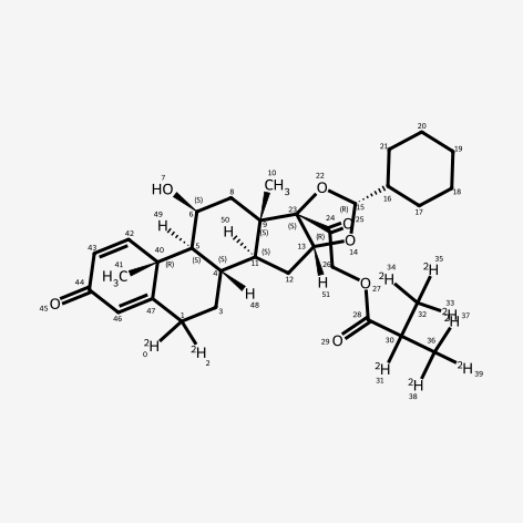 [2H]C1([2H])C[C@@H]2[C@H]([C@@H](O)C[C@@]3(C)[C@H]2C[C@H]2O[C@@H](C4CCCCC4)O[C@]23C(=O)COC(=O)C([2H])(C([2H])([2H])[2H])C([2H])([2H])[2H])[C@@]2(C)C=CC(=O)C=C12